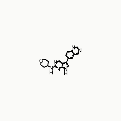 c1ncc2cc(-c3c[nH]c4nc(NC5CCOCC5)ncc34)ccc2n1